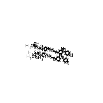 CC(C)N(C)C(=O)CN1CCN(CCCCCOc2ccc3c(c2)ncn3-c2ccc(Cl)cc2)CC1.CN(C)CCNC(=O)CN1CCN(CCCCCOc2ccc3c(c2)ncn3-c2ccc(Cl)cc2)CC1